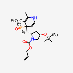 C=CCOC(=O)N1C[C@H](O[Si](C)(C)C(C)(C)C)C[C@H]1CC1(P(=O)(CC)CC)C=CNC(C)=C1C(=O)OCC